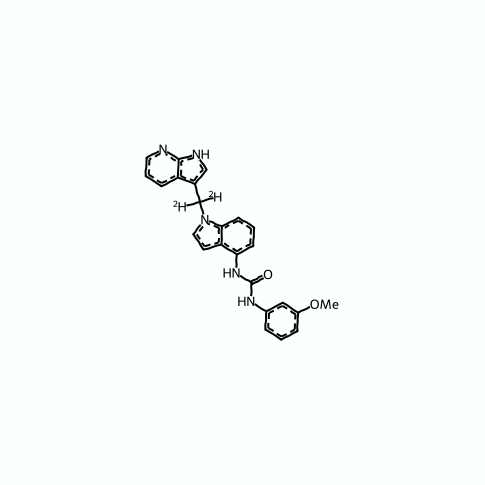 [2H]C([2H])(c1c[nH]c2ncccc12)n1ccc2c(NC(=O)Nc3cccc(OC)c3)cccc21